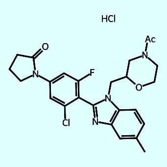 CC(=O)N1CCOC(Cn2c(-c3c(F)cc(N4CCCC4=O)cc3Cl)nc3cc(C)ccc32)C1.Cl